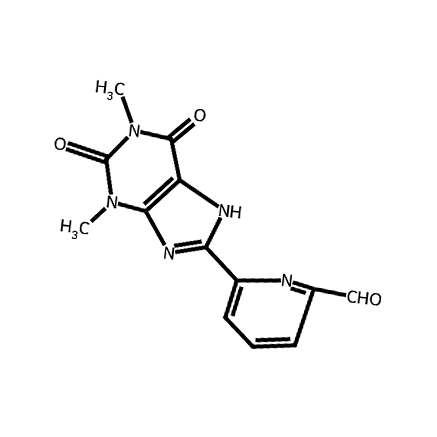 Cn1c(=O)c2[nH]c(-c3cccc(C=O)n3)nc2n(C)c1=O